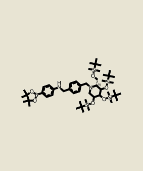 CC1(C)OB(c2ccc(NCc3ccc(CN4CC(O[Si](C)(C)C(C)(C)C)C(O[Si](C)(C)C(C)(C)C)C(O[Si](C)(C)C(C)(C)C)[C@H]4CO[Si](C)(C)C(C)(C)C)cc3)cc2)OC1(C)C